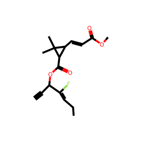 C#CC(OC(=O)C1C(C=CC(=O)OC)C1(C)C)C(F)=CCC